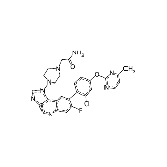 Cc1ccnc(Oc2ccc(-c3cc4c(cc3F)ncc3ncn(N5CCN(CC(N)=O)CC5)c34)c(Cl)c2)n1